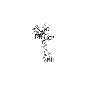 CCC(=O)Oc1cccc(OCCCCC2CCNCC2)c1NS(=O)(=O)c1cccs1.Cl